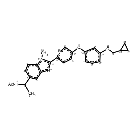 CC(=O)NC(C)c1ccc2c(c1)nc(-c1ccc(Oc3cccc(OCC4CC4)c3)cn1)n2C